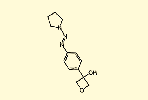 OC1(c2ccc(N=NN3CCCC3)cc2)COC1